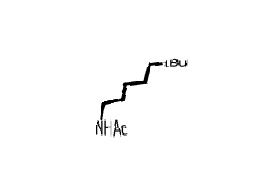 CC(=O)NCCCCCC(C)(C)C